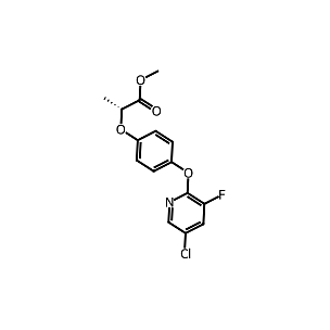 COC(=O)[C@@H](C)Oc1ccc(Oc2ncc(Cl)cc2F)cc1